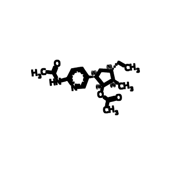 CC[C@H]1C[C@@H](c2ccc(NC(C)=O)nc2)[C@H](OC(C)=O)[C@@H]1C